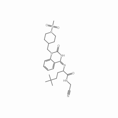 CC(C)(C)CCC(/N=c1/[nH]c(=O)n(CC2CCN(S(C)(=O)=O)CC2)c2ccccc12)C(=O)NCC#N